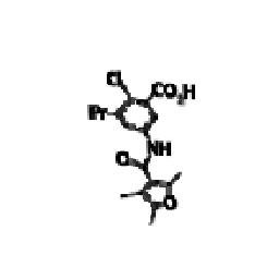 Cc1oc(C)c(C(=O)Nc2cc(C(=O)O)c(Cl)c(C(C)C)c2)c1C